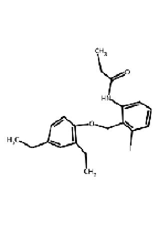 CCC(=O)Nc1cccc(I)c1COc1ccc(CC)cc1CC